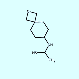 CC(S)NC1CCC2(CC1)COC2